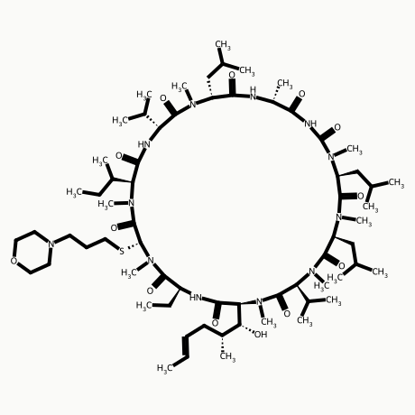 C/C=C/C[C@@H](C)[C@@H](O)[C@H]1C(=O)N[C@@H](CC)C(=O)N(C)[C@H](SCCCN2CCOCC2)C(=O)N(C)[C@@H](C(C)CC)C(=O)N[C@H](C(C)C)C(=O)N(C)[C@H](CC(C)C)C(=O)N[C@H](C)C(=O)NC(=O)N(C)[C@@H](CC(C)C)C(=O)N(C)[C@@H](CC(C)C)C(=O)N(C)[C@@H](C(C)C)C(=O)N1C